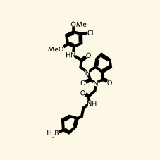 Bc1ccc(CCNC(=O)Cn2c(=O)c3ccccc3n(CC(=O)Nc3cc(Cl)c(OC)cc3OC)c2=O)cc1